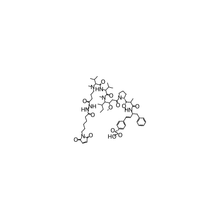 CCC(C)C(C(CC(=O)N1CCC[C@H]1C(OC)C(C)C(=O)NC(/C=C/c1ccc(S(=O)(=O)O)cc1)Cc1ccccc1)OC)N(C)C(=O)C(NC(=O)C(C(C)C)N(C)CCCC(=O)NNC(=O)CCCCCN1C(=O)C=CC1=O)C(C)C